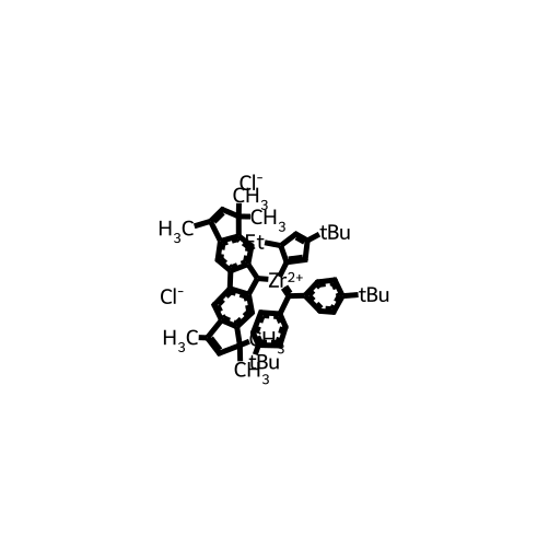 CCC1C=C(C(C)(C)C)C=[C]1[Zr+2](=[C](c1ccc(C(C)(C)C)cc1)c1ccc(C(C)(C)C)cc1)[CH]1c2cc3c(cc2-c2cc4c(cc21)C(C)(C)C=C4C)C(C)=CC3(C)C.[Cl-].[Cl-]